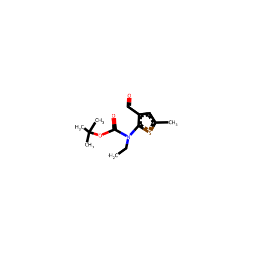 [CH2]CN(C(=O)OC(C)(C)C)c1sc(C)cc1C=O